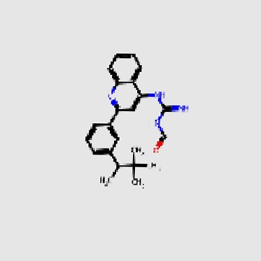 CC(c1cccc(-c2cc(NC(=N)NC=O)c3ccccc3n2)c1)C(C)(C)C